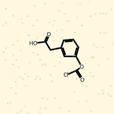 O=C(O)Cc1cccc(OC(=O)Cl)c1